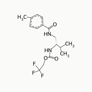 Cc1ccc(C(=O)NC[C@@H](NC(=O)OCC(F)(F)F)C(C)C)cc1